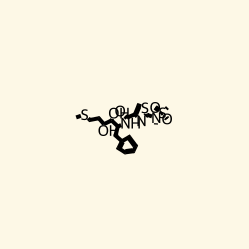 CSCCC(O)C(O)C(Cc1ccccc1)NC(=O)c1csc(N(C)S(C)(=O)=O)n1